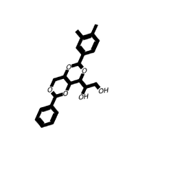 Cc1ccc(C2OC3COC(c4ccccc4)OC3C(C(O)CO)O2)cc1C